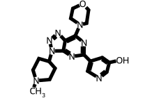 CN1CCC(n2nnc3c(N4CCOCC4)nc(-c4cncc(O)c4)nc32)CC1